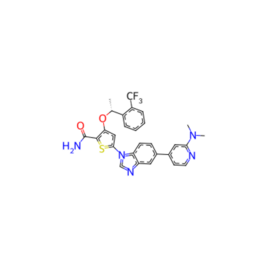 C[C@@H](Oc1cc(-n2cnc3cc(-c4ccnc(N(C)C)c4)ccc32)sc1C(N)=O)c1ccccc1C(F)(F)F